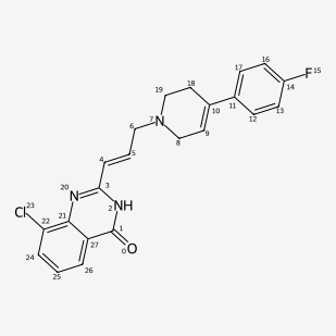 O=c1[nH]c(/C=C/CN2CC=C(c3ccc(F)cc3)CC2)nc2c(Cl)cccc12